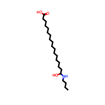 CCCCNC(O)CCCCCCCCCCCCCCCCC(=O)O